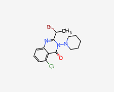 CC(Br)c1nc2cccc(Cl)c2c(=O)n1N1CCCCC1